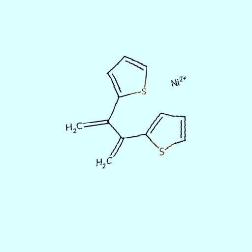 C=C(C(=C)c1cccs1)c1cccs1.[Ni+2]